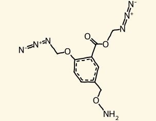 [N-]=[N+]=NCOC(=O)c1cc(CON)ccc1OCN=[N+]=[N-]